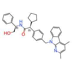 Cc1cc(C)c2c3ccccc3n(Cc3ccc([C@@H](C(=O)N[C@@H](CO)c4ccccc4)C4CCCC4)cc3)c2n1